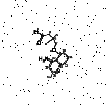 CCC(=O)CC(C)(C)COc1cccc2nc(C)cc(N)c12